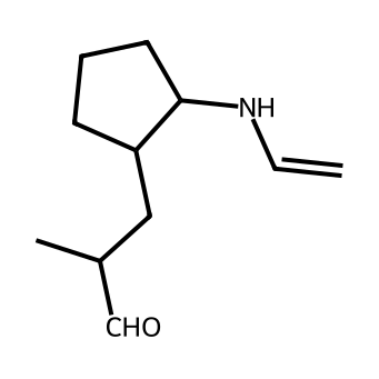 C=CNC1CCCC1CC(C)C=O